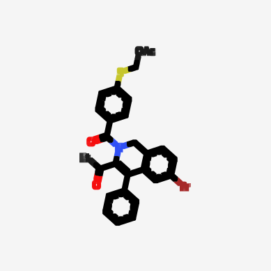 CCC(=O)C1=C(c2ccccc2)c2cc(Br)ccc2CN1C(=O)c1ccc(SCOC(C)=O)cc1